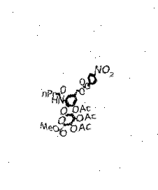 CCCC(=O)Nc1cc(COC(=O)Oc2ccc([N+](=O)[O-])cc2)ccc1O[C@H]1O[C@@H](C(=O)OC)[C@H](OC(C)=O)[C@@H](OC(C)=O)[C@@H]1OC(C)=O